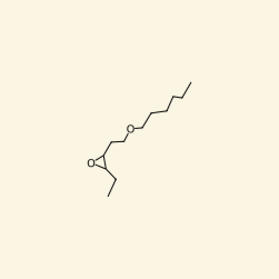 CCCCCCOCCC1OC1CC